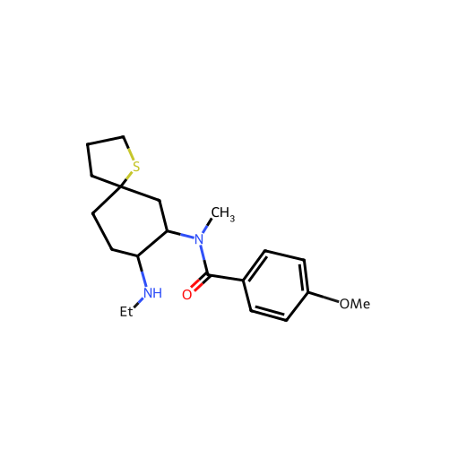 CCNC1CCC2(CCCS2)CC1N(C)C(=O)c1ccc(OC)cc1